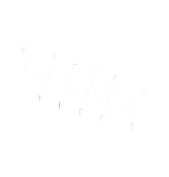 FCC(F)(F)C(F)(F)C(F)(F)C(F)(F)[C](F)F